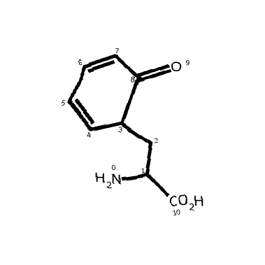 NC(CC1C=CC=CC1=O)C(=O)O